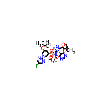 COc1ncnc(OC)c1-n1c(NS(=O)(=O)[C@@H]2C[C@@H](OC(C)C)CN(c3ncc(F)cn3)C2)nnc1C1CCCO1